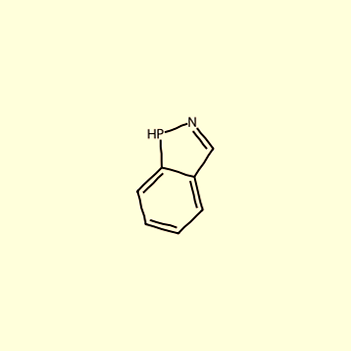 c1ccc2[pH]ncc2c1